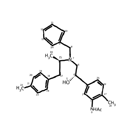 CC(=O)Nc1cc([C@H](O)CN(Cc2ccccc2)[C@H](C)Cc2ccc(C)cc2)ccc1C